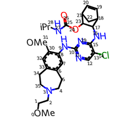 COCCN1CCc2cc(Nc3ncc(Cl)c(NC4C5C=CC(C5)C4OC(=O)NC(C)C)n3)c(OC)cc2CC1